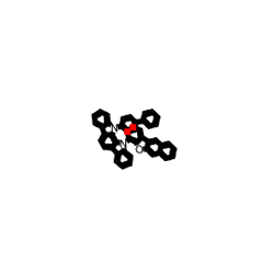 c1ccc(-c2ccc(-n3c4ccccc4c4ccc5c6ccccc6n(-c6cccc7c6oc6cc8ccccc8cc67)c5c43)cc2)cc1